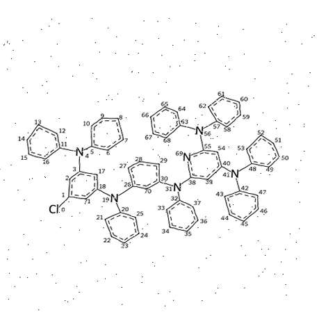 Clc1cc(N(c2ccccc2)c2ccccc2)cc(N(c2ccccc2)c2cccc(N(c3ccccc3)c3cc(N(c4ccccc4)c4ccccc4)cc(N(c4ccccc4)c4ccccc4)n3)c2)c1